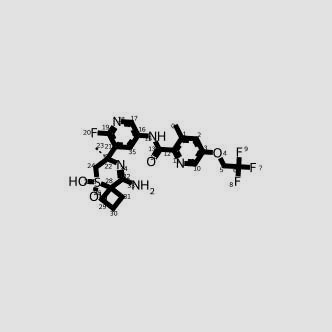 Cc1cc(OCC(F)(F)F)cnc1C(=O)Nc1cnc(F)c([C@]2(C)CS(O)(O)C3(CCC3)C(N)=N2)c1